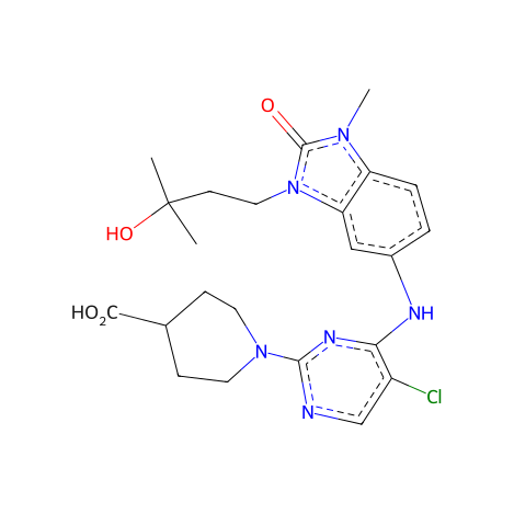 Cn1c(=O)n(CCC(C)(C)O)c2cc(Nc3nc(N4CCC(C(=O)O)CC4)ncc3Cl)ccc21